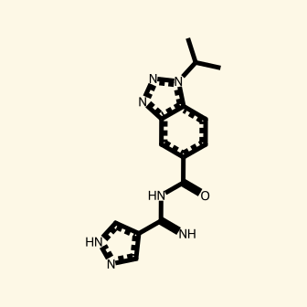 CC(C)n1nnc2cc(C(=O)NC(=N)c3cn[nH]c3)ccc21